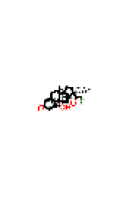 CC(=O)O[C@]1(C(=O)CCl)CC[C@H]2[C@@H]3CCC4=CC(=O)C=C[C@]4(C)[C@H]3C(O)C[C@@]21C